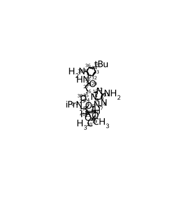 CC(C)N(C[C@H]1OC(n2cnc3c(N)ncnc32)[C@@H]2OC(C)(C)O[C@H]12)[C@H]1C[C@@H](CCC(=O)Nc2ccc(C(C)(C)C)cc2N)C1